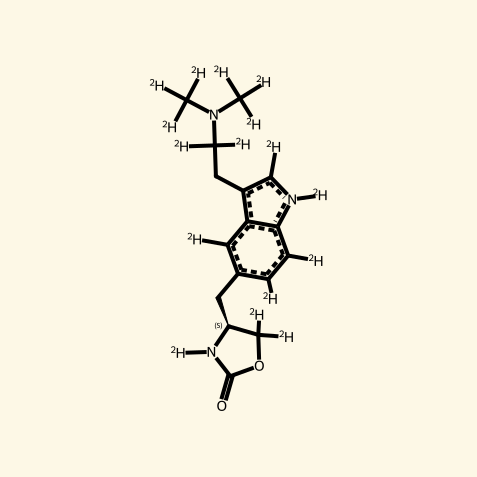 [2H]c1c(C[C@@H]2N([2H])C(=O)OC2([2H])[2H])c([2H])c2c(CC([2H])([2H])N(C([2H])([2H])[2H])C([2H])([2H])[2H])c([2H])n([2H])c2c1[2H]